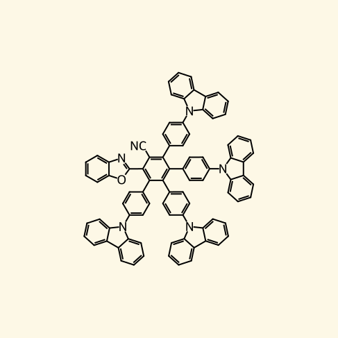 N#Cc1c(-c2ccc(-n3c4ccccc4c4ccccc43)cc2)c(-c2ccc(-n3c4ccccc4c4ccccc43)cc2)c(-c2ccc(-n3c4ccccc4c4ccccc43)cc2)c(-c2ccc(-n3c4ccccc4c4ccccc43)cc2)c1-c1nc2ccccc2o1